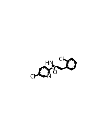 N=S(=O)(/C=C/c1ccccc1Cl)c1ccc(Cl)cn1